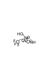 O=C(c1cccc2c1CCN2)N(CCCO)c1cc(Cc2cc(F)c(F)c(F)c2)ccn1